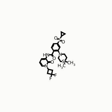 C[Si]1(C)CCN(c2cc(S(=O)(=O)C3CC3)ccc2C(=O)Nc2cccn(C3CC(F)(F)C3)c2=O)CC1